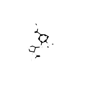 COC(=O)c1ccc([N+](=O)[O-])c(NC2COC[C@@H]2C(=O)O)c1